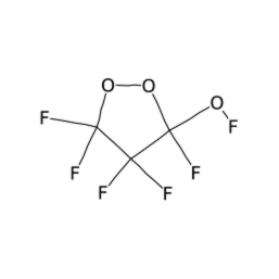 FOC1(F)OOC(F)(F)C1(F)F